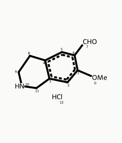 COc1cc2c(cc1C=O)CCNC2.Cl